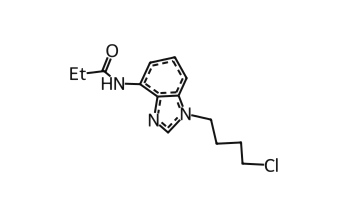 CCC(=O)Nc1cccc2c1ncn2CCCCCl